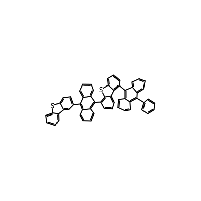 c1ccc(-c2c3ccccc3c(-c3cccc4sc5c(-c6c7ccccc7c(-c7ccc8sc9ccccc9c8c7)c7ccccc67)cccc5c34)c3ccccc23)cc1